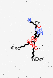 CCCCCCCCCCCCCCCC(=O)OCC(COC(O)CCCCCCCCCCCCCCC)OC(=O)C1=CC(CNCC(=O)C(CC)CCCN(C)C)NC=C1